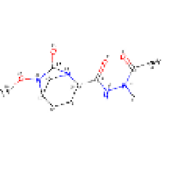 CCCC(=O)N(C)NC(=O)[C@@H]1CCC2CN1C(=O)N2OS(=O)(=O)O